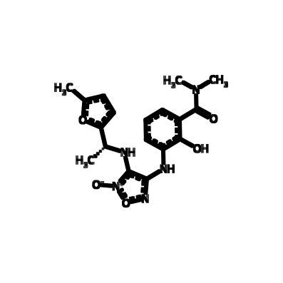 Cc1ccc([C@@H](C)Nc2c(Nc3cccc(C(=O)N(C)C)c3O)no[n+]2[O-])o1